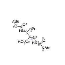 CCCC(NC(=O)OC(C)(C)C)/C(=N/NC(=O)NC)C(=O)O